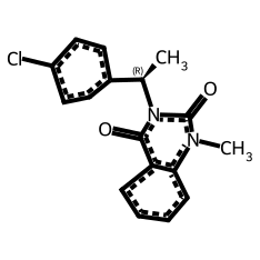 C[C@H](c1ccc(Cl)cc1)n1c(=O)c2ccccc2n(C)c1=O